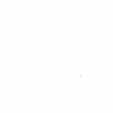 CCCc1nc2c(C)cc(C(=O)N[C@@H](CSC(=O)CC[C@H](N)C(=O)O)CC(C)C)cc2n1Cc1ccc(-c2ccccc2C(=O)O)cc1